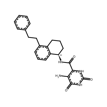 Nc1c(C(=O)N[C@@H]2CCCc3c(CCc4ccccc4)cccc32)[nH]c(=O)[nH]c1=O